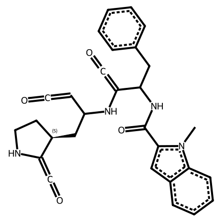 Cn1c(C(=O)NC(Cc2ccccc2)C(=C=O)NC(C=C=O)C[C@@H]2CCNC2=C=O)cc2ccccc21